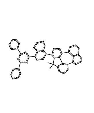 CC1(C)c2cccc3c2-c2c(ccc(-c4ccc(-c5nc(-c6ccccc6)nc(-c6ccccc6)n5)c5ccccc45)c21)-c1cccc2cccc-3c12